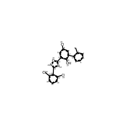 Cc1ccccc1-c1cc(Cl)cc(-c2nc(-c3c(Cl)cccc3Cl)no2)c1O